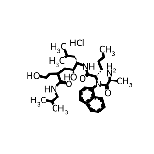 CCCC[C@@H](C(=O)N[C@@H](CC(C)C)[C@@H](O)CC(CCO)C(=O)NCC(C)C)N(C(=O)[C@H](C)N)c1cccc2ccccc12.Cl